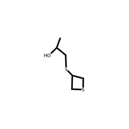 CC(O)CSC1CSC1